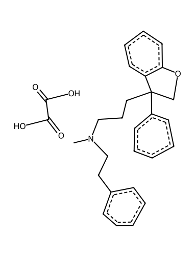 CN(CCCC1(c2ccccc2)COc2ccccc21)CCc1ccccc1.O=C(O)C(=O)O